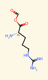 N=C(N)NCCC[C@H](N)C(=O)O[C]=O